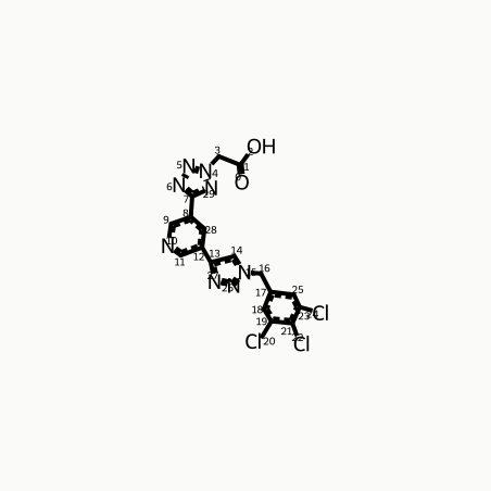 O=C(O)Cn1nnc(-c2cncc(-c3cn(Cc4cc(Cl)c(Cl)c(Cl)c4)nn3)c2)n1